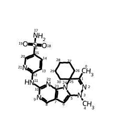 CC1=NN(C)c2cc3cnc(Nc4ccc(S(N)(=O)=O)cn4)nc3n2C12CCCCC2